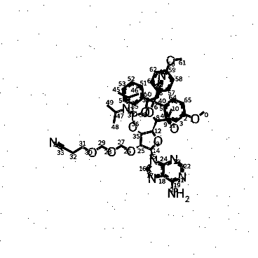 COc1ccc(C(OC(C(C)=O)[C@H]2O[C@@H](n3cnc4c(N)ncnc43)[C@H](OCOCOCCC#N)[C@@H]2OP(OCCC#N)N(C(C)C)C(C)C)(c2ccccc2)c2ccc(OC)cc2)cc1